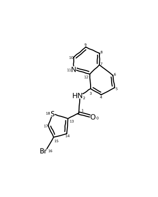 O=C(Nc1cccc2cccnc12)c1cc(Br)cs1